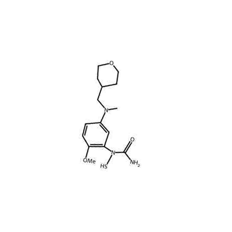 COc1ccc(N(C)CC2CCOCC2)cc1N(S)C(N)=O